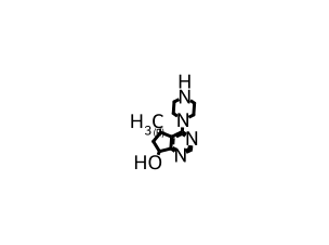 C[C@@H]1CC(O)c2ncnc(N3CCNCC3)c21